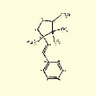 CC1(C)C(C(=O)O)CCC1(C=Cc1ccccc1)C(=O)O